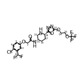 O=C(COc1ccc(Cl)c(C(F)F)c1)N[C@H]1CC[C@H](c2nnc(OCCOC(F)(F)F)o2)NC1